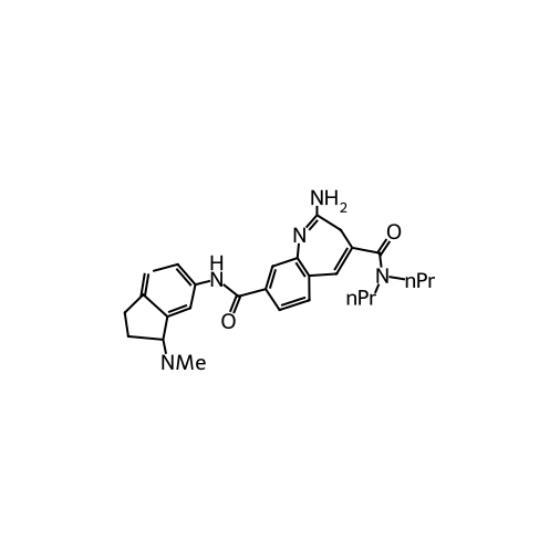 C=C1CCC(NC)/C1=C/C(=C\C)NC(=O)c1ccc2c(c1)N=C(N)CC(C(=O)N(CCC)CCC)=C2